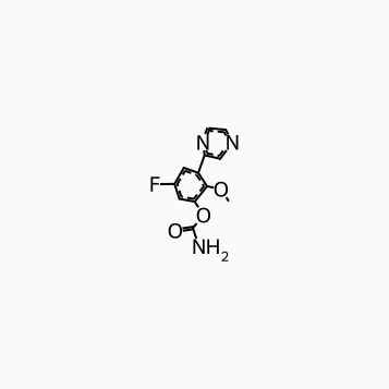 COc1c(OC(N)=O)cc(F)cc1-c1cnccn1